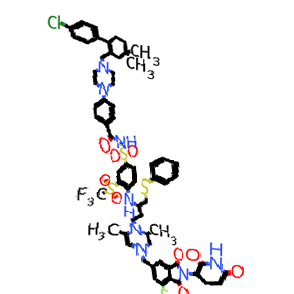 CC1CN(Cc2cc(F)c3c(c2)C(=O)N(C2CCC(=O)NC2=O)C3=O)CC(C)N1CCC(CSc1ccccc1)Nc1ccc(S(=O)(=O)NC(=O)c2ccc(N3CCN(CC4=C(c5ccc(Cl)cc5)CCC(C)(C)C4)CC3)cc2)cc1S(=O)(=O)C(F)(F)F